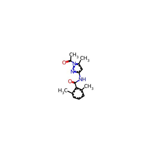 CC(=O)n1nc(NC(=O)c2c(C)cccc2C)cc1C